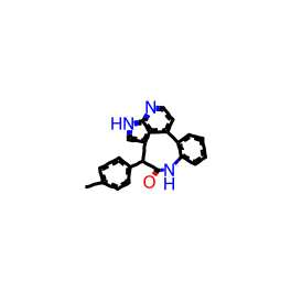 Cc1ccc(C2C(=O)Nc3ccccc3-c3ccnc4[nH]cc2c34)cc1